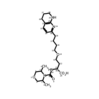 CC1COCC(C)N1C(=O)N[C@@H](CCOCCCCc1ccc2c(n1)NCCC2)C(=O)O